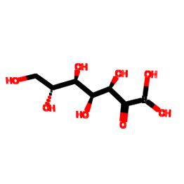 O=C(B(O)O)[C@H](O)[C@@H](O)[C@H](O)[C@H](O)CO